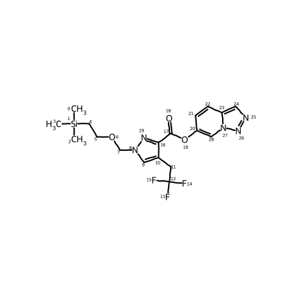 C[Si](C)(C)CCOCn1cc(CC(F)(F)F)c(C(=O)Oc2ccc3cnnn3c2)n1